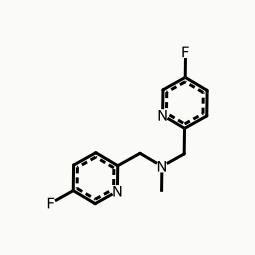 CN(Cc1ccc(F)cn1)Cc1ccc(F)cn1